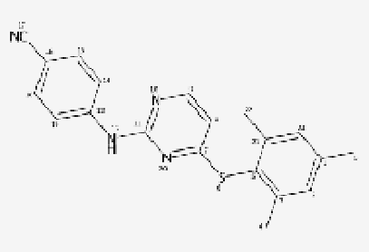 Cc1cc(C)c(Sc2ccnc(Nc3ccc(C#N)cc3)n2)c(C)c1